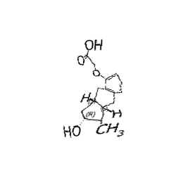 CC1[C@H](O)C[C@@H]2Cc3c(cccc3OCC(=O)O)C[C@H]12